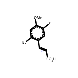 CCc1cc(OC)c(F)cc1/C=C/C(=O)O